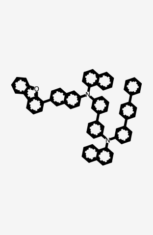 c1ccc(-c2ccc(-c3cccc(N(c4cccc(-c5cccc(N(c6ccc7cc(-c8cccc9c8oc8ccccc89)ccc7c6)c6cccc7ccccc67)c5)c4)c4cccc5ccccc45)c3)cc2)cc1